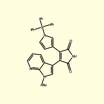 CCCCn1cc(C2=C(c3ccn([Si](C(C)C)(C(C)C)C(C)C)c3)C(=O)NC2=O)c2cccnc21